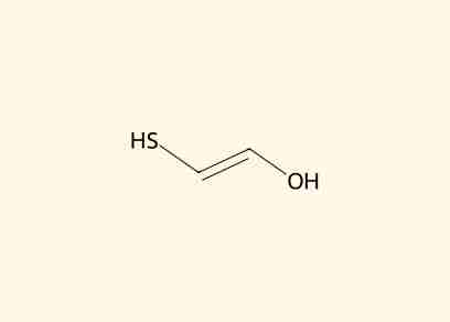 OC=CS